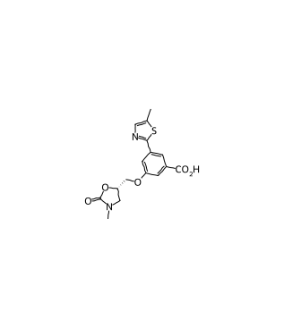 Cc1cnc(-c2cc(OC[C@@H]3CN(C)C(=O)O3)cc(C(=O)O)c2)s1